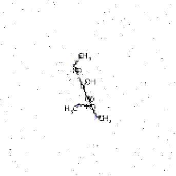 CC/C=C\CCCCOC(CCC(=O)OCCCCCCN(CCO)CCCCCCCC(=O)OC/C=C\CCCCCC)OCCCC/C=C\CC